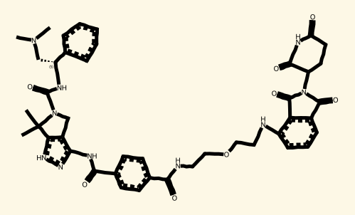 CN(C)C[C@@H](NC(=O)N1Cc2c(NC(=O)c3ccc(C(=O)NCCOCCNc4cccc5c4C(=O)N(C4CCC(=O)NC4=O)C5=O)cc3)n[nH]c2C1(C)C)c1ccccc1